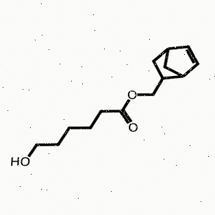 O=C(CCCCCO)OCC1CC2C=CC1C2